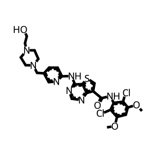 COc1cc(OC)c(Cl)c(NC(=O)c2csc3c(Nc4ccc(CN5CCN(CCO)CC5)cn4)ncnc23)c1Cl